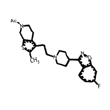 CC(=O)N1CCc2c(sc(C)c2CCN2CCC(c3noc4cc(F)ccc34)CC2)C1